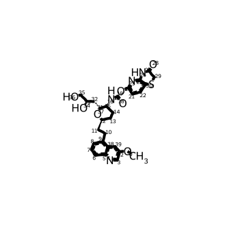 COc1cnc2cccc(CC[C@@H]3CC[C@@H](NC(=O)Oc4ccc5c(n4)NC(=O)CS5)[C@@H](C[C@H](O)CO)O3)c2c1